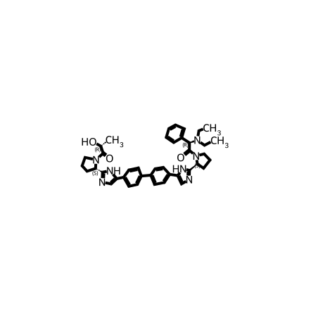 CCN(CC)[C@@H](C(=O)N1CCC[C@H]1c1ncc(-c2ccc(-c3ccc(-c4cnc([C@@H]5CCCN5C(=O)[C@@H](C)O)[nH]4)cc3)cc2)[nH]1)c1ccccc1